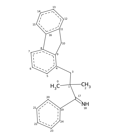 CC(C)(Cc1cccc2c1Cc1ccccc1-2)C(=N)c1ccccc1